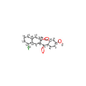 COc1ccc2c(=O)c3cc4c(F)cccc4cc3oc2c1